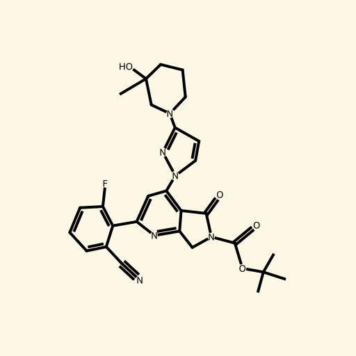 CC1(O)CCCN(c2ccn(-c3cc(-c4c(F)cccc4C#N)nc4c3C(=O)N(C(=O)OC(C)(C)C)C4)n2)C1